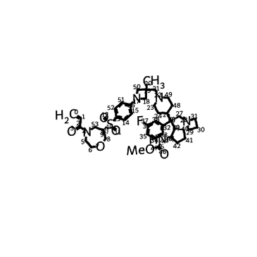 C=CC(=O)N1CCOC[C@H](S(=O)(=O)c2ccc(N3CC(C)(CN4CCC([C@@](CN5CCC5)(c5cccc(F)c5)[C@H]5CCC[C@@H]5NC(=O)OC)CC4)C3)cc2)C1